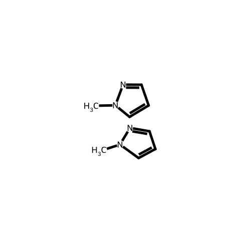 Cn1cccn1.Cn1cccn1